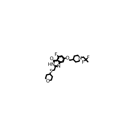 CC(F)(F)CN1CCC(COc2cc(F)c3c(=O)[nH]c(CSC4CCOCC4)nc3c2)CC1